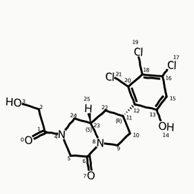 O=C(CO)N1CC(=O)N2CC[C@@H](c3c(O)cc(Cl)c(Cl)c3Cl)C[C@H]2C1